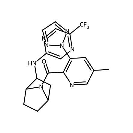 Cc1cnc(C(=O)N2C3CCC2C(Nc2cnc(C(F)(F)F)cn2)C3)c(-n2nccn2)c1